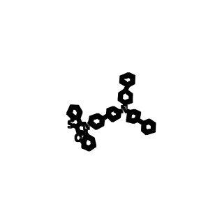 C1=CC(c2ccccc2)CC=C1N(c1ccc(-c2ccccc2)cc1)c1ccc(-c2ccc(N3c4c(oc5ccccc45)C4Sc5ccccc5C43)cc2)cc1